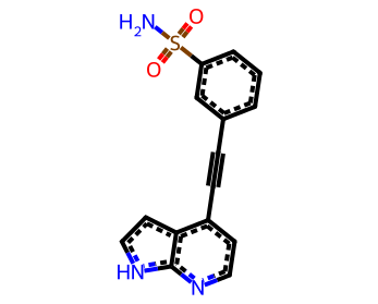 NS(=O)(=O)c1cccc(C#Cc2ccnc3[nH]ccc23)c1